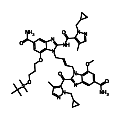 COc1cc(C(N)=O)cc2nc(C(=O)c3c(C)cnn3CC3CC3)n(CC=CCn3c(NC(=O)c4c(C)cnn4CC4CC4)nc4cc(C(N)=O)cc(OCCCO[Si](C)(C)C(C)(C)C)c43)c12